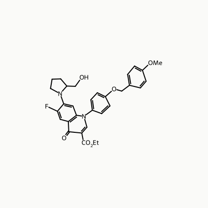 CCOC(=O)c1cn(-c2ccc(OCc3ccc(OC)cc3)cc2)c2cc(N3CCCC3CO)c(F)cc2c1=O